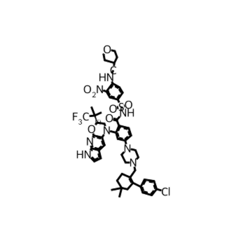 CC1(C)CCC(CN2CCN(c3ccc(C(=O)NS(=O)(=O)c4ccc(NCC5CCOCC5)c([N+](=O)[O-])c4)c(N4C[C@H](C(C)(C)C(F)(F)F)Oc5nc6[nH]ccc6cc54)c3)CC2)=C(c2ccc(Cl)cc2)C1